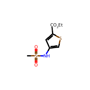 CCOC(=O)c1cc(NS(C)(=O)=O)cs1